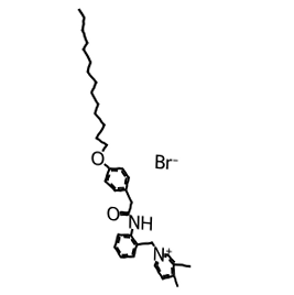 CCCCCCCCCCCCCCOc1ccc(CC(=O)Nc2ccccc2C[n+]2ccc(C)c(C)c2)cc1.[Br-]